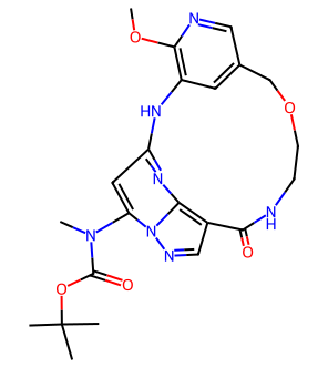 COc1ncc2cc1Nc1cc(N(C)C(=O)OC(C)(C)C)n3ncc(c3n1)C(=O)NCCOC2